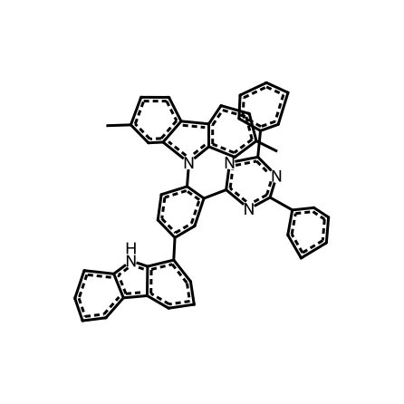 Cc1ccc2c3ccc(C)cc3n(-c3ccc(-c4cccc5c4[nH]c4ccccc45)cc3-c3nc(-c4ccccc4)nc(-c4ccccc4)n3)c2c1